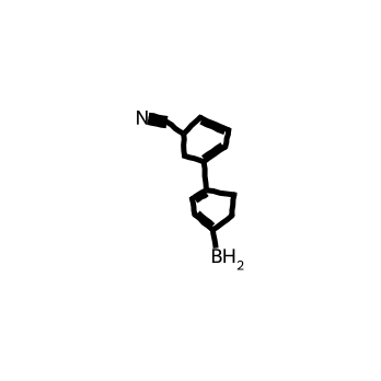 BC1=CC=C(C2=CC=CC(C#N)C2)CC1